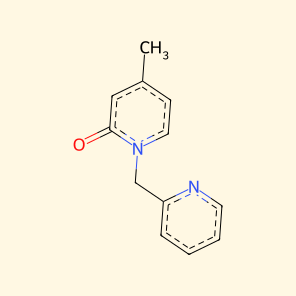 Cc1ccn(Cc2ccccn2)c(=O)c1